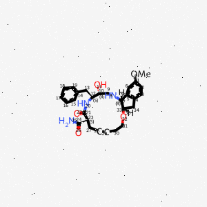 COc1ccc2c(c1)[C@H]1NC[C@@H](O)[C@H](Cc3ccccc3)NC(=O)[C@H](C(N)=O)CCCCCO[C@H]1C2